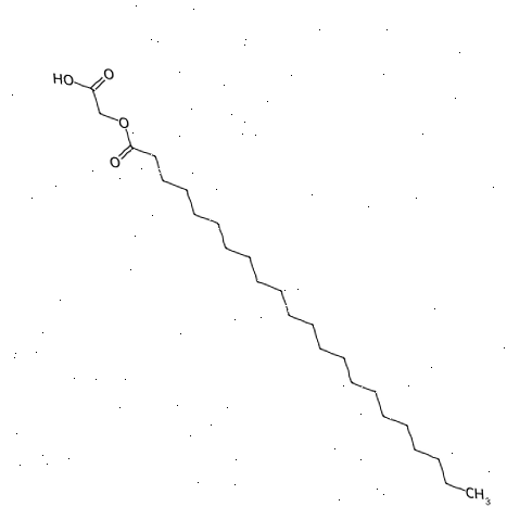 CCCCCCCCCCCCCCCCCCCCCC(=O)OCC(=O)O